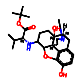 CC(C)[C@@H](NC1CC[C@@]2(O)[C@H]3Cc4ccc(O)c5c4[C@@]2(CCN3C)C1O5)C(=O)OC(C)(C)C